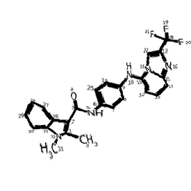 Cc1c(C(=O)Nc2ccc(Nc3cccc4nc(C(F)(F)F)cn34)cc2)c2ccccc2n1C